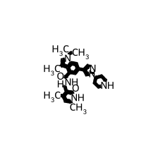 Cc1cc(C)c(CNC(O)c2cc(-c3cnn(C4CCNCC4)c3)cc3c2c(C)cn3C(C)C)c(=O)[nH]1